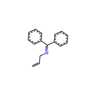 C=CCN=C(c1ccccc1)c1ccccc1